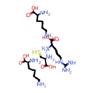 N=C(N)NCCCC(N)C(=O)O.NC(CS)C(=O)O.NCCCCC(N)C(=O)O.NCCCCC(N)C(=O)O